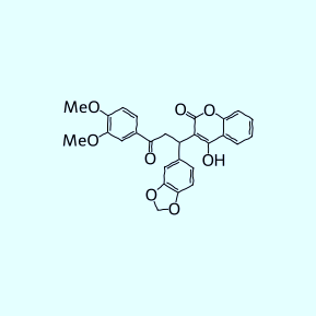 COc1ccc(C(=O)CC(c2ccc3c(c2)OCO3)c2c(O)c3ccccc3oc2=O)cc1OC